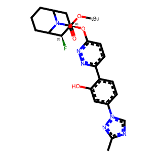 Cc1ncn(-c2ccc(-c3ccc(O[C@@H]4CC5CCCC([C@@H]4F)N5C(=O)OC(C)(C)C)nn3)c(O)c2)n1